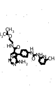 Cc1cccc(NC(=O)Nc2ccc(-c3c(C(=O)NCCOC(C)C)cn4ncnc(N)c34)cc2)n1